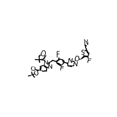 CC(C)(C)OC(=O)c1ccc2nc(Cc3cc(F)c(-c4ccnc(OCc5sc(C#N)cc5F)n4)cc3F)n([C@@H]3COCC3(C)C)c2c1